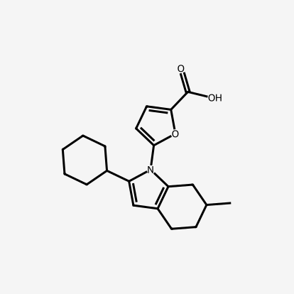 CC1CCc2cc(C3CCCCC3)n(-c3ccc(C(=O)O)o3)c2C1